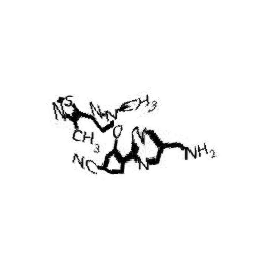 Cc1ncsc1-c1cc(Oc2cc(C#N)ccc2-c2ncc(CN)cn2)n(C)n1